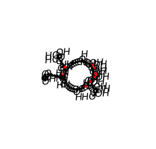 C[C@@H]1O[C@@H](OCCNC(=O)CC[C@@H]2NC(=O)CN(CC(=O)NCCCCCC(=O)ON3C(=O)CCC3=O)CC(=O)NCCCCCC(=O)NCCO[C@H]3O[C@H](CO[C@H]4O[C@H](CO)[C@@H](O)[C@H](O)[C@@H]4O)[C@@H](O)[C@H](O[C@H]4O[C@H](CO)[C@@H](O)[C@H](O[C@@H]5O[C@@H](OCCNC(=O)CCCCCNC2=O)[C@@H](O)[C@H](O)[C@@H]5O)[C@@H]4O)[C@@H]3O)[C@@H](O)[C@H](O)[C@@H]1O